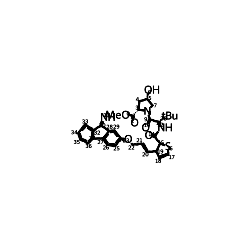 COC(=O)[C@@H]1C[C@@H](O)CN1C(=O)[C@@H](NC(=O)C1SC=CC1/C=C/COc1ccc2c(c1)C(=N)c1ccccc1-2)C(C)(C)C